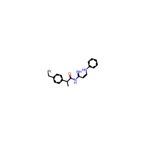 CC(C)Cc1ccc(C(C)C(=O)NC(=N)/C=C\Nc2ccccc2)cc1